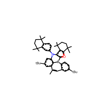 CC1=Cc2cc(C(C)(C)C)ccc2B2c3oc4c(c3N(c3ccc5c(c3)C(C)(C)CCC5(C)C)c3cc(C(C)(C)C)cc1c32)C(C)(C)CCC4(C)C